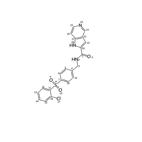 O=C(NCc1ccc(S(=O)(=O)c2ccccc2Cl)cc1)c1cc2cnccc2[nH]1